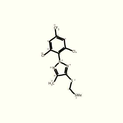 CSCSc1nn(-c2c(Cl)cc(C(F)(F)F)cc2Cl)nc1C